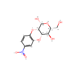 O=[N+]([O-])c1ccc(O[C@H]2[C@@H](O)[C@H](O)[C@@H](CO)O[C@H]2O)cc1